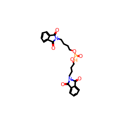 O=C1c2ccccc2C(=O)N1CCCCO[PH](=O)OCCCCN1C(=O)c2ccccc2C1=O